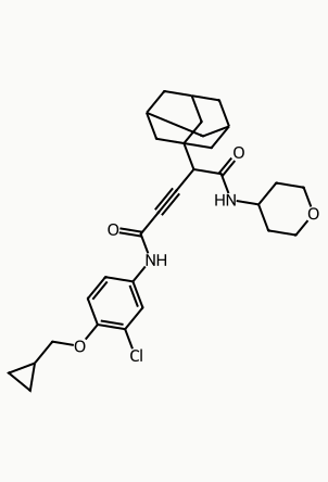 O=C(C#CC(C(=O)NC1CCOCC1)C12CC3CC(CC(C3)C1)C2)Nc1ccc(OCC2CC2)c(Cl)c1